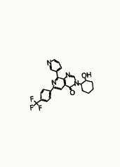 O=c1c2cc(-c3ccc(C(F)(F)F)cc3)nc(-c3cccnc3)c2ncn1C1CCCCC1O